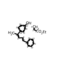 C=CC(=O)OCC.CC(=CC=Cc1ccccc1)c1ccc(O)cc1